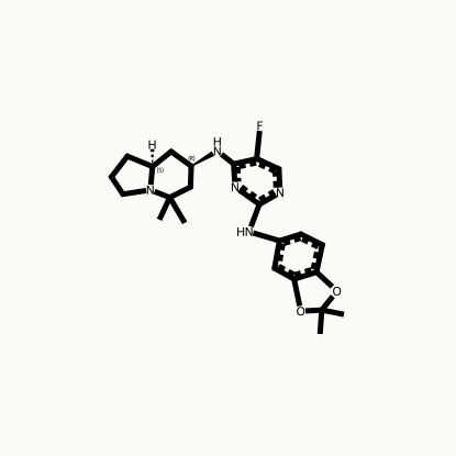 CC1(C)Oc2ccc(Nc3ncc(F)c(N[C@@H]4C[C@@H]5CCCN5C(C)(C)C4)n3)cc2O1